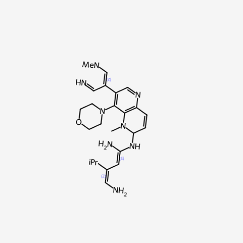 CN/C=C(\C=N)c1cnc2c(c1N1CCOCC1)N(C)C(N/C(N)=C/C(=C\N)C(C)C)C=C2